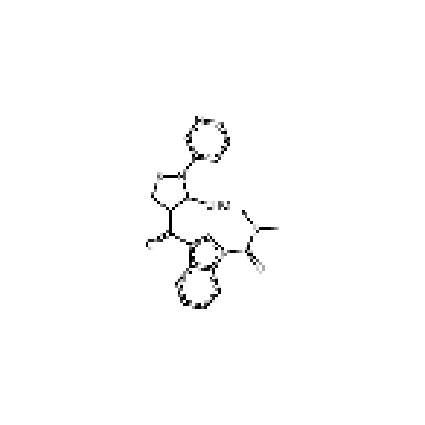 CN(C)C(=O)n1cc(C(=O)C2CSN(c3cccnc3)C2C=O)c2ccccc21